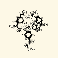 CC(C)Cc1ccc(C(C)C(=O)O)cc1.COc1ccc2c3c1O[C@H]1[C@@H](OP(=O)(O)Oc4ccc(NC(C)=O)cc4)CC[C@H]4[C@@H](C2)N(C)CC[C@@]341